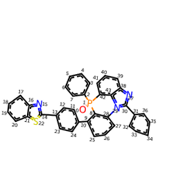 O=P1(c2ccccc2)c2c(-c3ccc(-c4nc5ccccc5s4)cc3)cccc2-n2c(-c3ccccc3)nc3cccc1c32